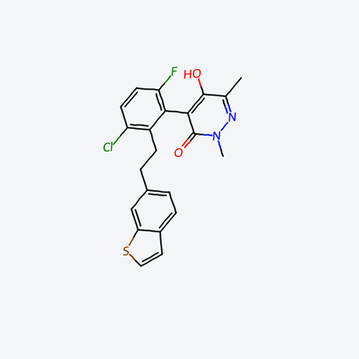 Cc1nn(C)c(=O)c(-c2c(F)ccc(Cl)c2CCc2ccc3ccsc3c2)c1O